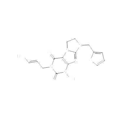 C/C=C/Cn1c(=O)c2c(nc3n2CCN3Cc2ccco2)n(C)c1=O